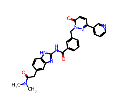 CN(C)C(=O)Cc1ccc2[nH]c(NC(=O)c3cccc(Cn4nc(-c5cccnc5)ccc4=O)c3)nc2c1